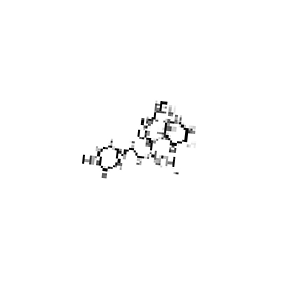 CN(CCN1CCNCC1)C(=O)[C@H]1CCCC[C@H]1C(=O)C(C)(C)C